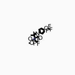 COC(=O)/C(=C1/C(=O)N(c2ccc(OC(F)(F)F)cc2)N=C1C)C(F)(F)F